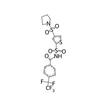 O=C(NS(=O)(=O)c1cc(S(=O)(=O)N2CCCC2)cs1)c1ccc(C(F)(F)C(F)(F)F)cc1